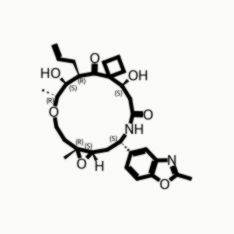 C=CC[C@H]1C(=O)C2(CCC2)[C@@H](O)CC(=O)N[C@H](c2ccc3oc(C)nc3c2)C[C@@H]2O[C@]2(C)CCO[C@H](C)[C@H]1O